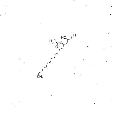 C=CCCCCCCCCCCCC(CC(O)CO)OC(C)=O